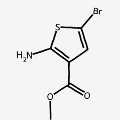 COC(=O)c1cc(Br)sc1N